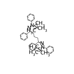 C[Si](C)(C)N(/N=C(/CCC/C(=N\N(c1ccccc1)[Si](C)(C)C)c1ccccc1)c1ccccc1)c1ccccc1